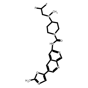 Cc1ncc(-c2cnc3cnc(NC(=O)N4CCC(N(C)CC(F)F)CC4)cc3c2)o1